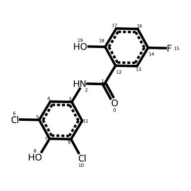 O=C(Nc1cc(Cl)c(O)c(Cl)c1)c1cc(F)ccc1O